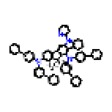 CC1(C)c2cc(N(c3ccc(-c4ccccc4)cc3)c3cccc(-c4ccccc4)c3)ccc2-c2cc3c(c(N(c4ccc(-c5ccccc5)cc4)c4cccc(-c5ccccc5)c4)c21)c1ccccc1n3-c1ccccn1